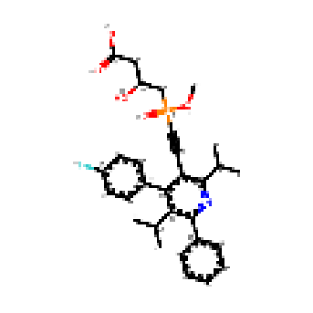 COP(=O)(C#Cc1c(C(C)C)nc(-c2ccccc2)c(C(C)C)c1-c1ccc(F)cc1)C[C@@H](O)CC(=O)O